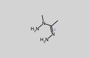 C/C(=N/N)N(C)N